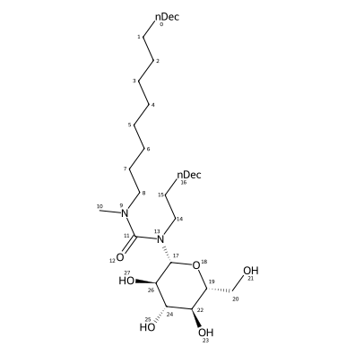 CCCCCCCCCCCCCCCCCCN(C)C(=O)N(CCCCCCCCCCCC)[C@@H]1O[C@H](CO)[C@@H](O)[C@H](O)[C@H]1O